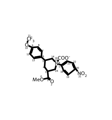 COC(=O)C1CC(c2ccc(OC(F)(F)F)cc2)C[N+](C(=O)[O-])(c2ccc([N+](=O)[O-])cc2)C1